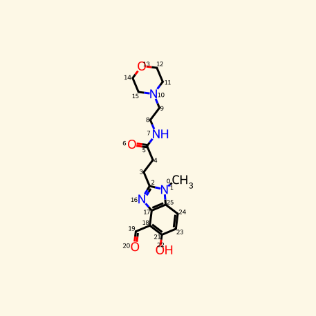 Cn1c(CCC(=O)NCCN2CCOCC2)nc2c(C=O)c(O)ccc21